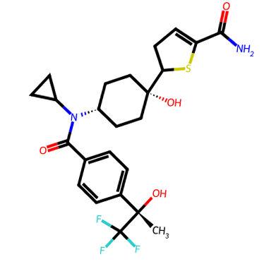 C[C@](O)(c1ccc(C(=O)N(C2CC2)[C@H]2CC[C@](O)(C3CC=C(C(N)=O)S3)CC2)cc1)C(F)(F)F